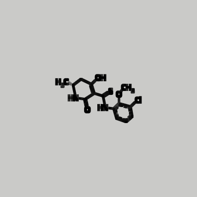 COc1c(Cl)cccc1NC(=S)C1=C(O)C[C@@H](C)NC1=O